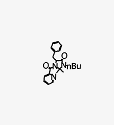 CCCCN1C(=O)C(Cc2ccccc2)N(C(=O)c2ccccn2)C1(C)C